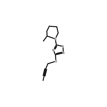 CC#CCOc1nsc(N2CCCCC2C)n1